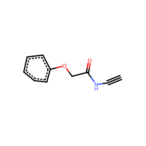 C#CNC(=O)COc1ccccc1